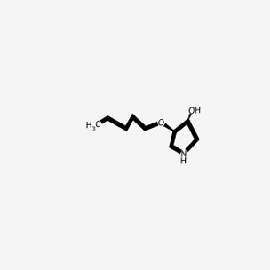 CCCCCO[C@@H]1CNC[C@H]1O